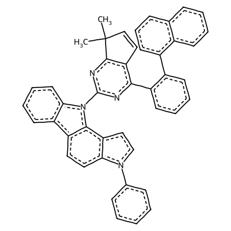 CC1(C)C=Cc2c(-c3ccccc3-c3cccc4ccccc34)nc(-n3c4ccccc4c4ccc5c(ccn5-c5ccccc5)c43)nc21